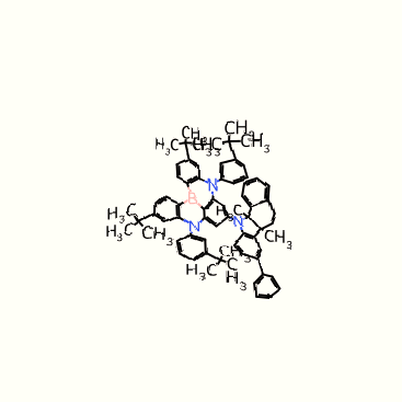 CC(C)(C)c1cccc(N2c3cc(C(C)(C)C)ccc3B3c4ccc(C(C)(C)C)cc4N(c4cccc(C(C)(C)C)c4)c4cc(N5c6ccc(-c7ccccc7)cc6C6(C)CCc7ccccc7C56C)cc2c43)c1